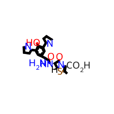 CC1=C(C(=O)O)N2C(=O)[C@@H](NC(=O)[C@H](N)c3cc(C4CCC=N4)c(O)c(C4CCC=N4)c3)[C@H]2S1